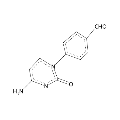 Nc1ccn(-c2ccc(C=O)cc2)c(=O)n1